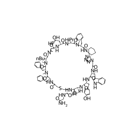 CCCC[C@H]1C(=O)N(C)CC(=O)N[C@@H](CC(O)=P)C(=O)N[C@@H](C(C)C)C(=O)N(C)[C@@H](Cc2ccccc2)C(=O)NC2(CCCCC2)c2nnnn2CC(=O)N[C@@H](Cc2c[nH]c3ccccc23)C(=O)N[C@@H](Cc2ccc(O)cc2)C(=O)N[C@@H](CC(C)C)C(=O)N[C@H](C(=O)NCC(N)=O)CSCC(=O)N[C@@H](Cc2ccccc2)C(=O)N(C)[C@@H](Cc2ccccc2)C(=O)N1C